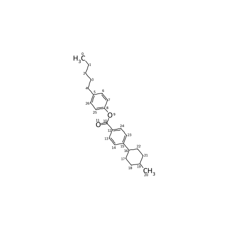 CCCCCc1ccc(OC(=O)c2ccc(C3CCC(C)CC3)cc2)cc1